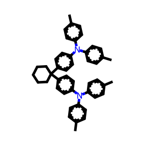 Cc1ccc(N(c2ccc(C)cc2)c2ccc(C3(c4ccc(N(c5ccc(C)cc5)c5ccc(C)cc5)cc4)CCCCC3)cc2)cc1